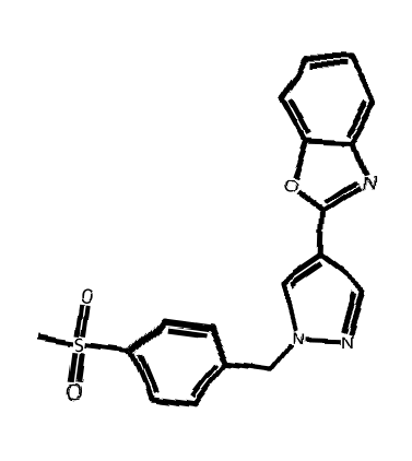 CS(=O)(=O)c1ccc(Cn2cc(-c3nc4ccccc4o3)cn2)cc1